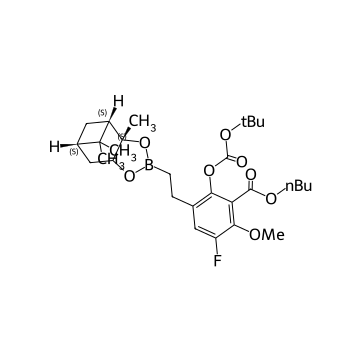 CCCCOC(=O)c1c(OC)c(F)cc(CCB2OC3C[C@@H]4C[C@@H](C4(C)C)[C@]3(C)O2)c1OC(=O)OC(C)(C)C